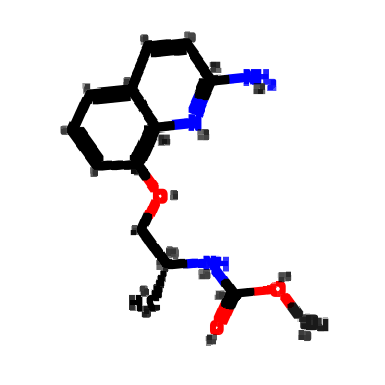 C[C@H](COc1cccc2ccc(N)nc12)NC(=O)OC(C)(C)C